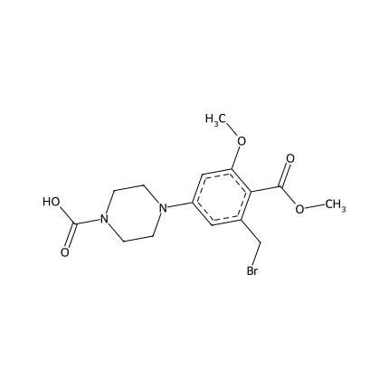 COC(=O)c1c(CBr)cc(N2CCN(C(=O)O)CC2)cc1OC